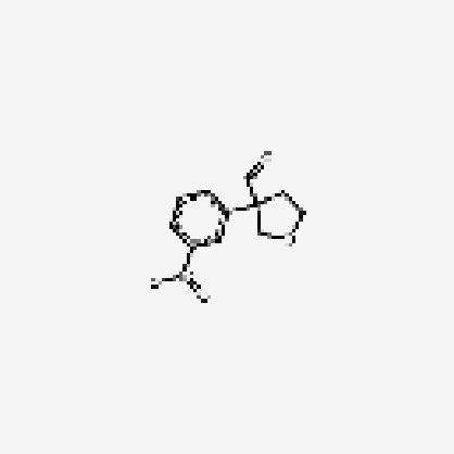 O=CC1(c2cccc([N+](=O)[O-])c2)CCOC1